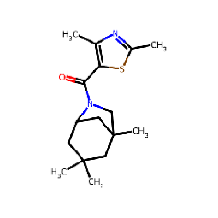 Cc1nc(C)c(C(=O)N2CC3(C)CC2CC(C)(C)C3)s1